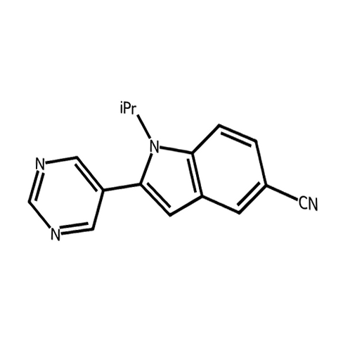 CC(C)n1c(-c2cncnc2)cc2cc(C#N)ccc21